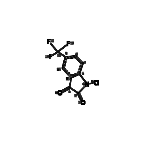 O=C1C(=O)N(Cl)c2ccc(C(F)(F)F)cc21